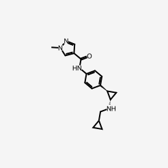 Cn1cc(C(=O)Nc2ccc([C@H]3C[C@@H]3NCC3CC3)cc2)cn1